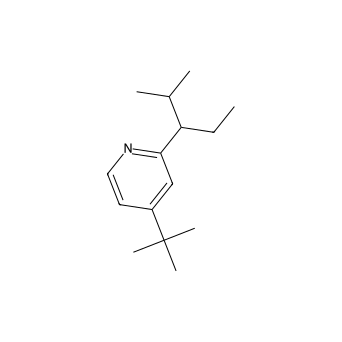 CCC(c1cc(C(C)(C)C)ccn1)C(C)C